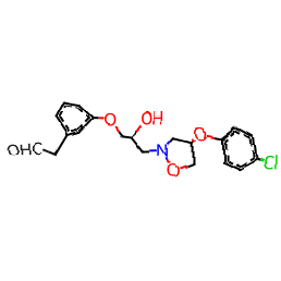 O=CCc1cccc(OC[C@@H](O)CN2C[C@@H](Oc3ccc(Cl)cc3)CO2)c1